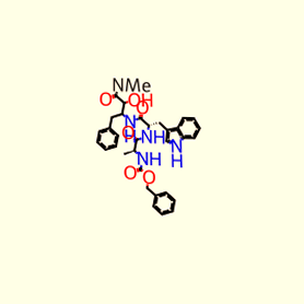 CNC(=O)C(O)C(Cc1ccccc1)NC(=O)[C@H](Cc1c[nH]c2ccccc12)NC(=O)[C@H](C)NC(=O)OCc1ccccc1